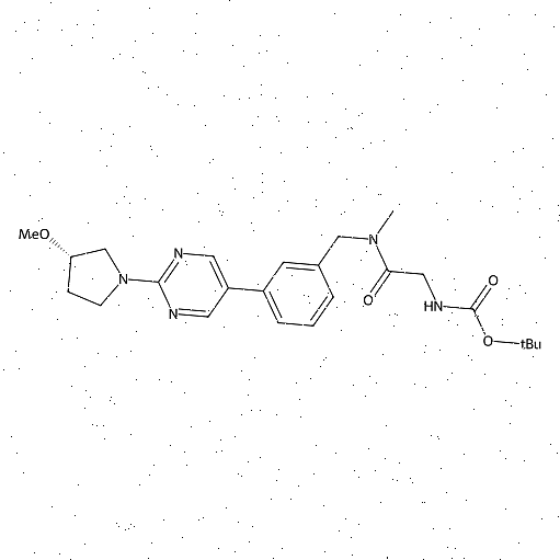 CO[C@H]1CCN(c2ncc(-c3cccc(CN(C)C(=O)CNC(=O)OC(C)(C)C)c3)cn2)C1